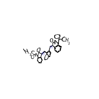 CC(=O)N1C(=O)/C(=C/c2ccoc2/C=C2/C(=O)N(C(C)=O)c3ccccc32)c2ccccc21